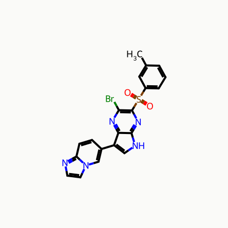 Cc1cccc(S(=O)(=O)c2nc3[nH]cc(-c4ccc5nccn5c4)c3nc2Br)c1